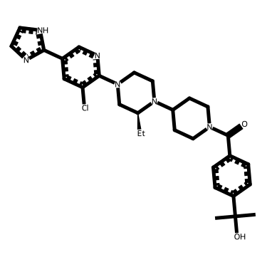 CC[C@H]1CN(c2ncc(-c3ncc[nH]3)cc2Cl)CCN1C1CCN(C(=O)c2ccc(C(C)(C)O)cc2)CC1